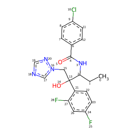 CCC(NC(=O)c1ccc(Cl)cc1)C(O)(Cn1cncn1)c1ccc(F)cc1F